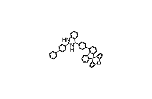 c1ccc(-c2ccc(C3Nc4ccccc4C(c4ccc(-c5cccc6c5-c5ccccc5C65c6ccccc6Oc6ccccc65)cc4)N3)cc2)cc1